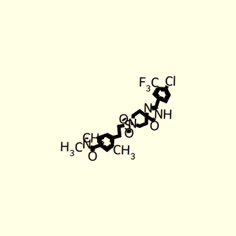 Cc1cc(C(=O)N(C)C)ccc1CCS(=O)(=O)N1CCC2(CC1)N=C(c1ccc(Cl)c(C(F)(F)F)c1)NC2=O